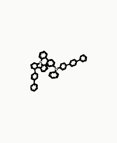 c1ccc(-c2ccc(-c3ccc(N(c4ccccc4)c4ccc(-c5ccccc5-n5c6ccccc6c6c(-c7ccc(-c8ccccc8)cc7)cccc65)cc4)cc3)cc2)cc1